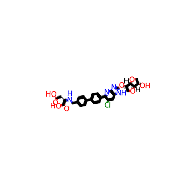 O=C(O)C[C@H](NCc1ccc(-c2ccc(-c3nc4nc(O[C@@H]5CO[C@H]6[C@@H]5OC[C@H]6O)[nH]c4cc3Cl)cc2)cc1)C(=O)O